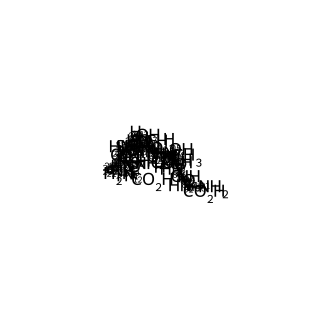 CC(=O)NCSC[C@H](NC(=O)[C@@H](N)CCC(=O)O)C(=O)N[C@@H](Cc1c[nH]c2ccccc12)C(=O)N[C@@H](CS)C(=O)N[C@@H](Cc1ccc(O)cc1)C(=O)N[C@@H](CCC(=O)O)C(=O)N[C@H](C(=O)N[C@@H](CCC(=O)O)C(=O)NCC(=O)N[C@H](C(=O)NCC(=O)NCC(=O)NCC(=O)N[C@@H](CCCCN)C(=O)O)[C@@H](C)O)[C@@H](C)O